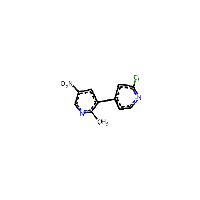 Cc1ncc([N+](=O)[O-])cc1-c1ccnc(Cl)c1